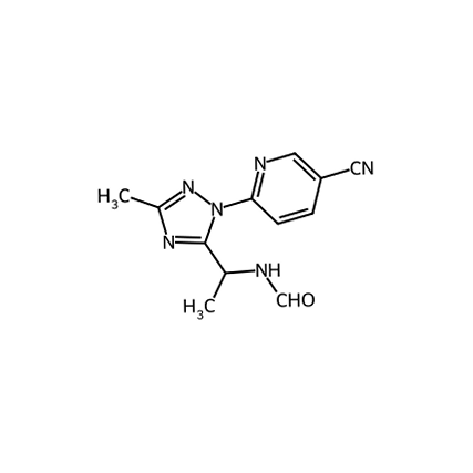 Cc1nc(C(C)NC=O)n(-c2ccc(C#N)cn2)n1